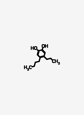 CCCCc1cc(O)c(O)cc1CCC